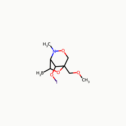 BC1OC2(COC)CON(C)C1C2OI